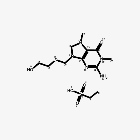 CCS(=O)(=O)O.CN1CN(CSCCO)c2nc(N)n(C)c(=O)c21